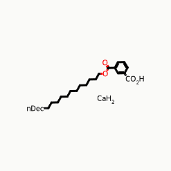 CCCCCCCCCCCCCCCCCCCCCCOC(=O)c1cccc(C(=O)O)c1.[CaH2]